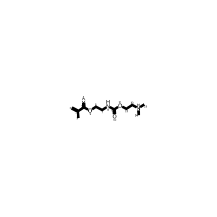 C=C(C)C(=O)OCCNC(=O)OCCN(C)C